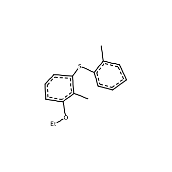 CCOc1cccc(Sc2ccccc2C)c1C